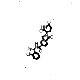 CC(C)[C@H](NC(=O)c1ccc2c(c1)CN(C1CCC(=O)NC1=O)C2=O)c1ccccc1Cl